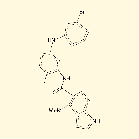 CNc1c(C(=O)Nc2cc(Nc3cccc(Br)c3)ccc2C)cnc2[nH]ccc12